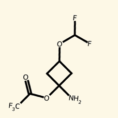 NC1(OC(=O)C(F)(F)F)CC(OC(F)F)C1